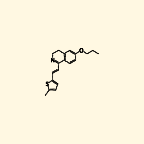 CCCOc1ccc2c(c1)CCN=C2C=Cc1ccc(C)s1